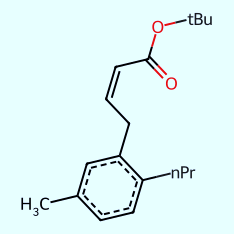 CCCc1ccc(C)cc1C/C=C\C(=O)OC(C)(C)C